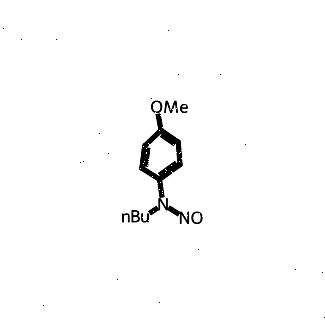 CCCCN(N=O)c1ccc(OC)cc1